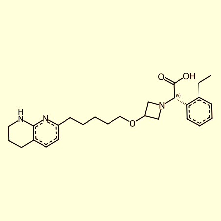 CCc1ccccc1[C@@H](C(=O)O)N1CC(OCCCCCc2ccc3c(n2)NCCC3)C1